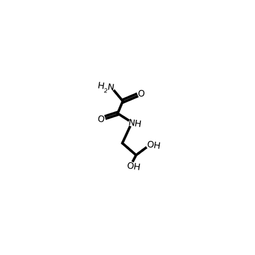 NC(=O)C(=O)NCC(O)O